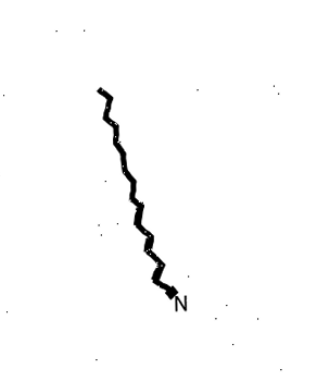 CCCCCCCCCC=CC=CC=CC#N